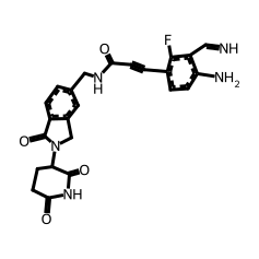 N=Cc1c(N)ccc(C#CC(=O)NCc2ccc3c(c2)CN(C2CCC(=O)NC2=O)C3=O)c1F